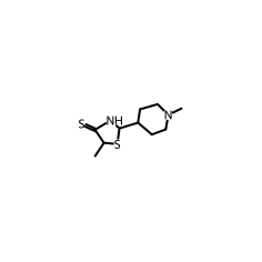 CC1SC(C2CCN(C)CC2)NC1=S